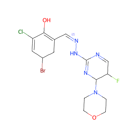 OC1=C(/C=N\NC2=NC(N3CCOCC3)C(F)C=N2)CC(Br)C=C1Cl